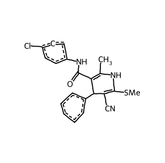 CSC1=C(C#N)C(c2ccccc2)C(C(=O)Nc2ccc(Cl)cc2)=C(C)N1